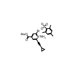 COC(=O)c1cc(Br)[n+](N)c(C#CC2CC2)c1.Cc1cc(C)c(S(=O)(=O)[O-])c(C)c1